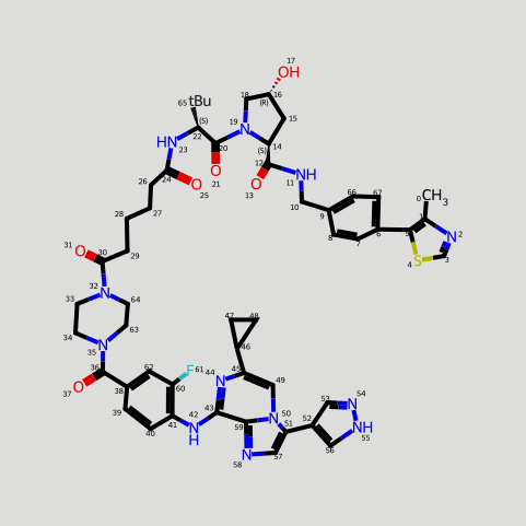 Cc1ncsc1-c1ccc(CNC(=O)[C@@H]2C[C@@H](O)CN2C(=O)[C@@H](NC(=O)CCCCC(=O)N2CCN(C(=O)c3ccc(Nc4nc(C5CC5)cn5c(-c6cn[nH]c6)cnc45)c(F)c3)CC2)C(C)(C)C)cc1